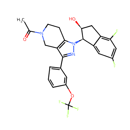 CC(=O)N1CCc2c(c(-c3cccc(OC(F)(F)F)c3)nn2[C@@H]2c3cc(F)cc(F)c3C[C@@H]2O)C1